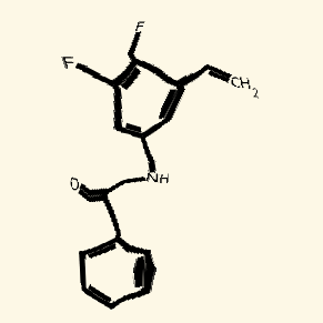 C=Cc1cc(NC(=O)c2ccccc2)cc(F)c1F